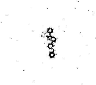 Cc1cnccc1-c1c(C)nn2c(C3CCCN(Cc4ccccc4)C3)ccnc12